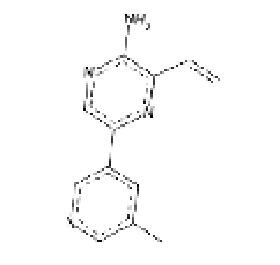 C=Cc1nc(-c2cncc(C)c2)cnc1N